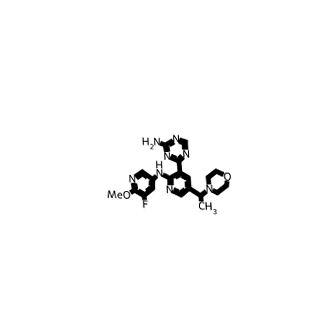 COc1ncc(Nc2ncc(C(C)N3CCOCC3)cc2-c2ncnc(N)n2)cc1F